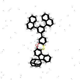 c1ccc2c(c1)-c1c(ccc3c1Sc1ccc(-c4cc(-c5cccc6ccccc56)cc(-c5cccc6ccccc56)c4)cc1O3)C21C2CC3CC(C2)CC1C3